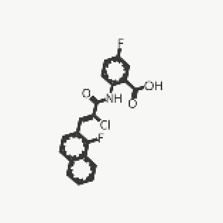 O=C(Nc1ccc(F)cc1C(=O)O)C(Cl)=Cc1ccc2ccccc2c1F